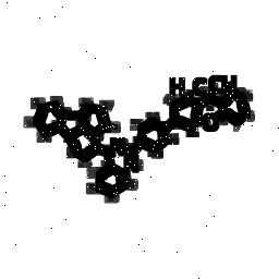 CC1(C)c2ccccc2Oc2cc(-c3ccc(-c4nc(-c5ccc6c7c(cccc57)-c5ccccc5-6)c5ccccc5n4)cc3)ccc21